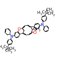 CC1/C2=C\C=C3/C/C(=C\C=C/1c1ccc(N(c4ccccc4)c4ccc([Si](C)(C)C)cc4)cc1O2)Oc1cc(N(c2ccc([Si](C)(C)C)cc2)C2C=CC=CC2)ccc13